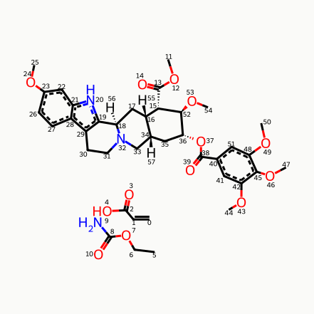 C=CC(=O)O.CCOC(N)=O.COC(=O)[C@H]1[C@H]2C[C@@H]3c4[nH]c5cc(OC)ccc5c4CCN3C[C@H]2C[C@@H](OC(=O)c2cc(OC)c(OC)c(OC)c2)[C@@H]1OC